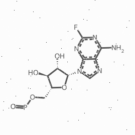 Nc1nc(F)nc2c1ncn2[C@@H]1O[C@H](COP=O)[C@@H](O)[C@@H]1O